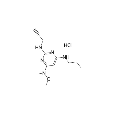 C#CCNc1nc(NCCC)cc(N(C)OC)n1.Cl